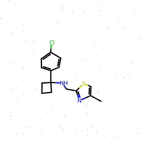 Cc1csc(CNC2(c3ccc(Cl)cc3)CCC2)n1